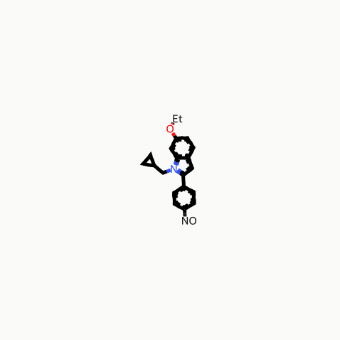 CCOc1ccc2cc(-c3ccc(N=O)cc3)n(CC3CC3)c2c1